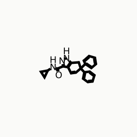 O=C(NC1CC1)c1n[nH]c2c1C=CC(c1ccccc1)(c1ccccc1)C2